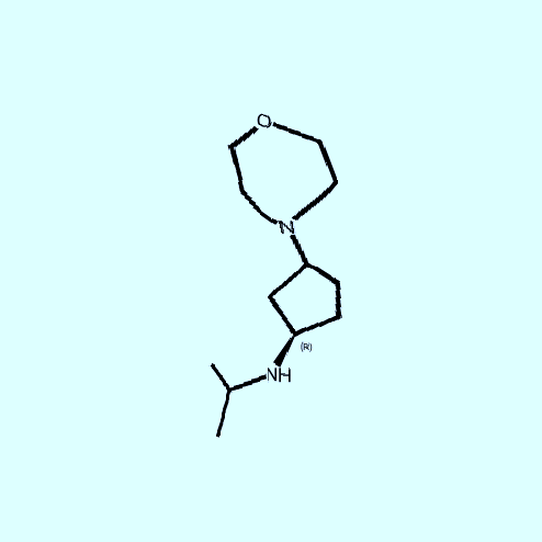 CC(C)N[C@@H]1CCC(N2CCOCC2)C1